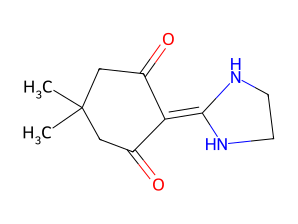 CC1(C)CC(=O)C(=C2NCCN2)C(=O)C1